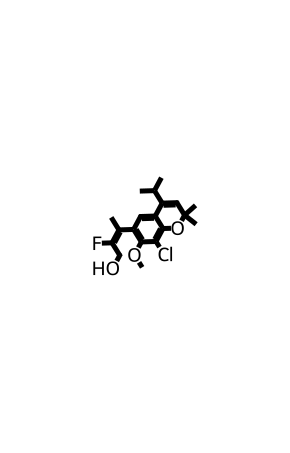 COc1c(/C(C)=C(/F)CO)cc2c(c1Cl)OC(C)(C)C=C2C(C)C